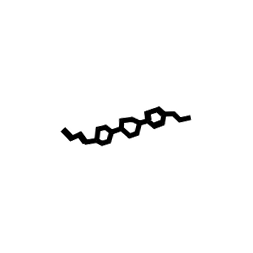 C=CC=CC1CCC(C2CCC(c3ccc(CCC)cc3)CC2)CC1